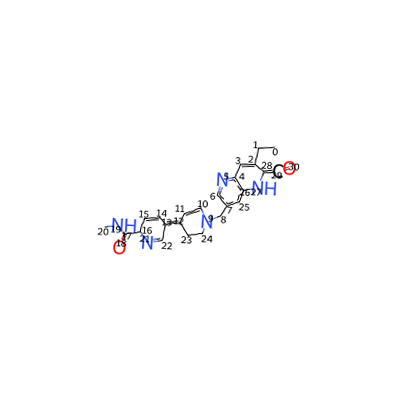 CCC1=Cc2ncc(CN3C=CC(=C4C=CC(C(=O)NC)N=C4)CC3)cc2NC1=C=O